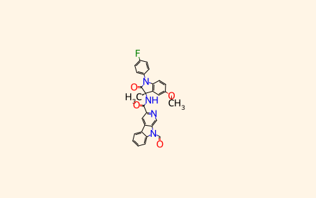 COc1ccc2c(c1)[C@](C)(NC(=O)c1cc3c4ccccc4n(C=O)c3cn1)C(=O)N2c1ccc(F)cc1